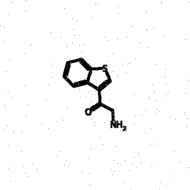 NCC(=O)c1csc2ccccc12